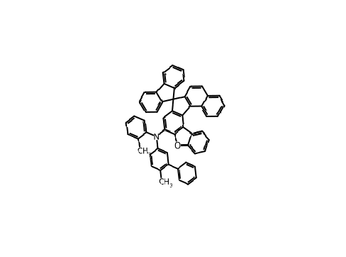 Cc1ccc(N(c2ccccc2C)c2cc3c(c4c2oc2ccccc24)-c2c(ccc4ccccc24)C32c3ccccc3-c3ccccc32)cc1-c1ccccc1